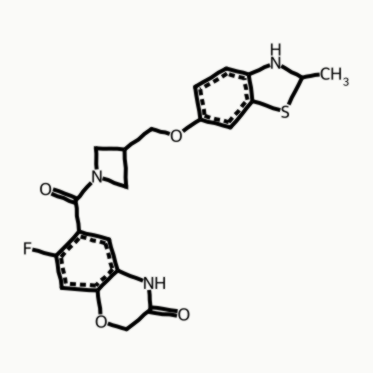 CC1Nc2ccc(OCC3CN(C(=O)c4cc5c(cc4F)OCC(=O)N5)C3)cc2S1